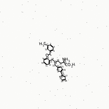 Cc1cccc(COc2ccccc2CN(CCC(N)C(=O)O)Cc2ccc(-c3cccs3)s2)c1